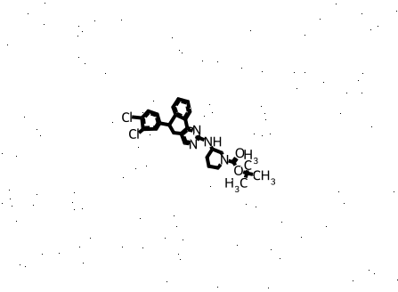 CC(C)(C)OC(=O)N1CCCC(Nc2ncc3c(n2)-c2ccccc2C(c2ccc(Cl)c(Cl)c2)C3)C1